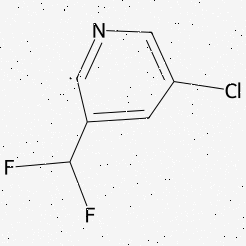 FC(F)c1[c]ncc(Cl)c1